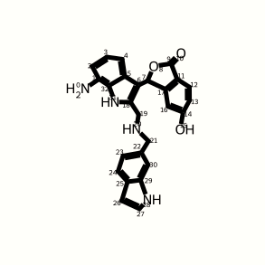 Nc1cccc2c(C3OC(=O)c4ccc(O)cc43)c(CNCc3ccc4cc[nH]c4c3)[nH]c12